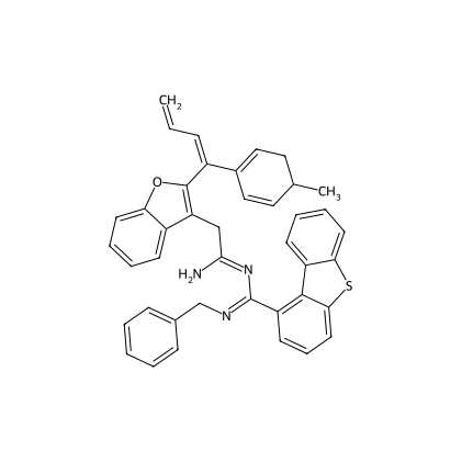 C=C/C=C(/C1=CCC(C)C=C1)c1oc2ccccc2c1C/C(N)=N/C(=N\Cc1ccccc1)c1cccc2sc3ccccc3c12